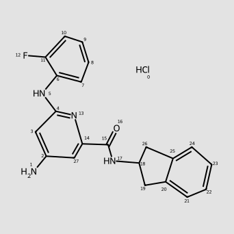 Cl.Nc1cc(Nc2ccccc2F)nc(C(=O)NC2Cc3ccccc3C2)c1